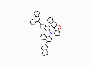 c1ccc2cc(-c3ccc(N(c4ccc5cc(-c6cc7ccccc7c7ccccc67)ccc5c4)c4cccc5oc6cc7ccccc7cc6c45)c4ccccc34)ccc2c1